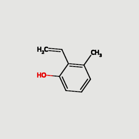 C=Cc1c(C)cccc1O